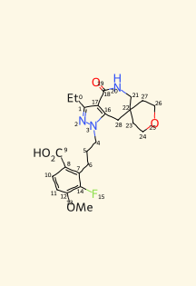 CCc1nn(CCCc2c(C(=O)O)ccc(OC)c2F)c2c1C(=O)NCC1(CCOCC1)C2